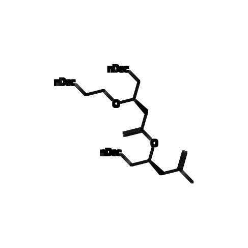 C=C(C)C[C@@H](CCCCCCCCCCC)OC(=C)C[C@H](CCCCCCCCCCC)OCCCCCCCCCCCC